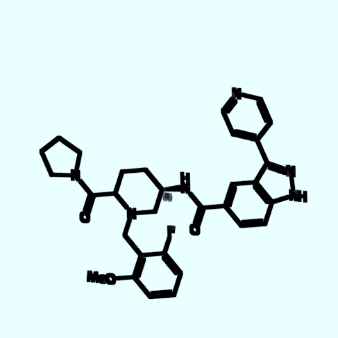 COc1cccc(F)c1CN1C[C@H](NC(=O)c2ccc3[nH]nc(-c4ccncc4)c3c2)CCC1C(=O)N1CCCC1